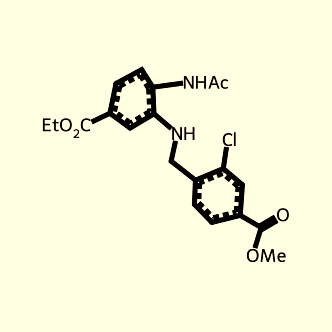 CCOC(=O)c1ccc(NC(C)=O)c(NCc2ccc(C(=O)OC)cc2Cl)c1